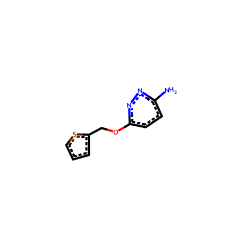 Nc1ccc(OCc2cccs2)nn1